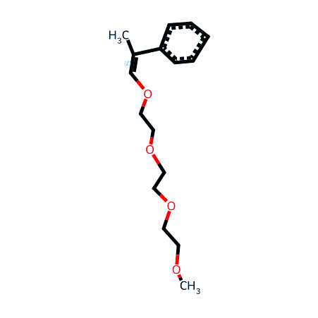 COCCOCCOCCO/C=C(/C)c1ccccc1